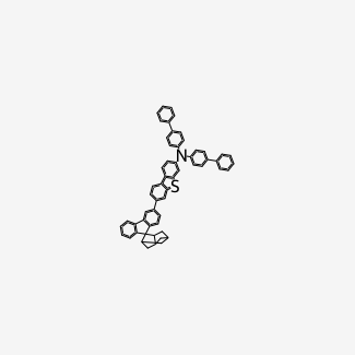 c1ccc(-c2ccc(N(c3ccc(-c4ccccc4)cc3)c3ccc4c(c3)sc3cc(-c5ccc6c(c5)-c5ccccc5C65C6CC7CC(C6)C5C7)ccc34)cc2)cc1